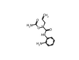 C=CC[C@H](OC(N)=O)C(=O)Nc1ccccc1N